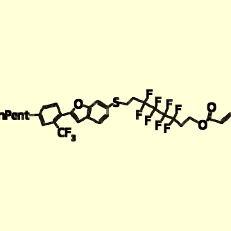 C=CC(=O)OCCC(F)(F)C(F)(F)C(F)(F)C(F)(F)CCSc1ccc2cc(-c3ccc(CCCCC)cc3C(F)(F)F)oc2c1